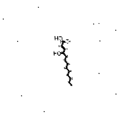 CCCCCCCCCC(O)C=CC(=O)O